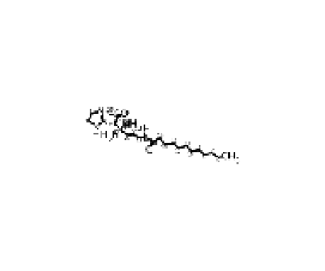 C1=NCCN1.CCCCCCCCCCCC(=O)NCCC[N+](N)(N)CC(=O)[O-]